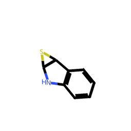 [c]1cccc2c1C1SC1N2